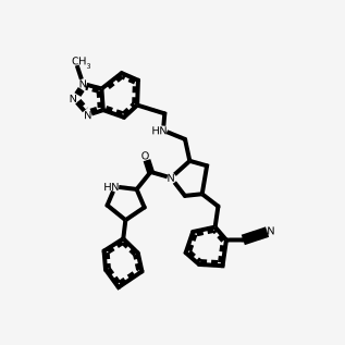 Cn1nnc2cc(CNCC3CC(Cc4ccccc4C#N)CN3C(=O)C3CC(c4ccccc4)CN3)ccc21